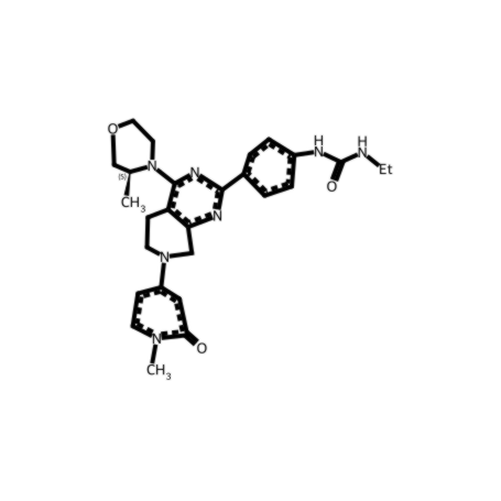 CCNC(=O)Nc1ccc(-c2nc3c(c(N4CCOC[C@@H]4C)n2)CCN(c2ccn(C)c(=O)c2)C3)cc1